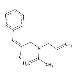 C=CCN(C/C(C)=C\c1ccccc1)C(=C)C